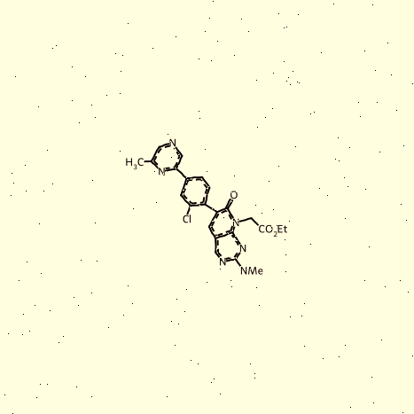 CCOC(=O)Cn1c(=O)c(-c2ccc(-c3cncc(C)n3)cc2Cl)cc2cnc(NC)nc21